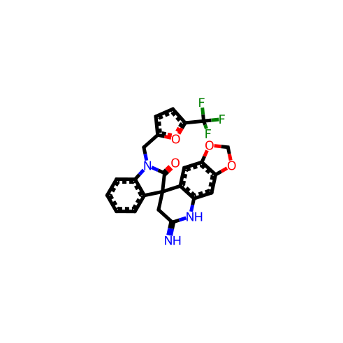 N=C1CC2(C(=O)N(Cc3ccc(C(F)(F)F)o3)c3ccccc32)c2cc3c(cc2N1)OCO3